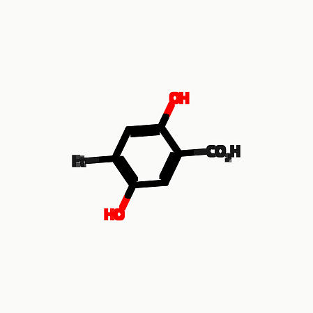 CCc1cc(O)c(C(=O)O)cc1O